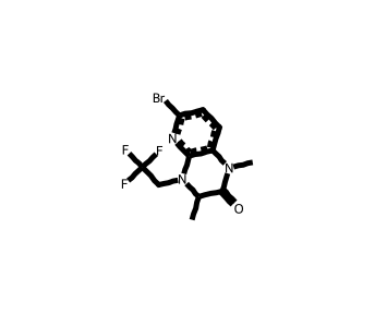 CC1C(=O)N(C)c2ccc(Br)nc2N1CC(F)(F)F